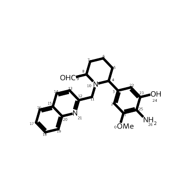 COc1cc(C2CCCC(C=O)N2Cc2ccc3ccccc3n2)cc(O)c1N